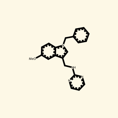 COc1ccc2c(c1)c(CNc1ncccn1)cn2Cc1ccccc1